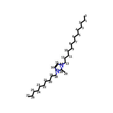 CCCCCCCCCCCCCCN1C=CN(CCCCCCCCCC)C1C